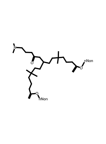 C=C(CCCC(C)(C)CCC(CCC(C)(C)CCCC(=C)OCCCCCCCCC)CC(=O)CCCN(C)C)OCCCCCCCCC